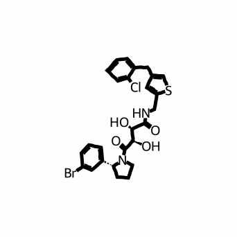 O=C(NCc1cc(Cc2ccccc2Cl)cs1)[C@H](O)[C@@H](O)C(=O)N1CCC[C@@H]1c1cccc(Br)c1